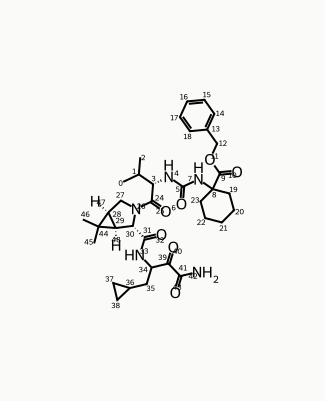 CC(C)[C@H](NC(=O)NC1(C(=O)OCc2ccccc2)CCCCC1)C(=O)N1C[C@H]2[C@@H]([C@H]1C(=O)NC(CC1CC1)C(=O)C(N)=O)C2(C)C